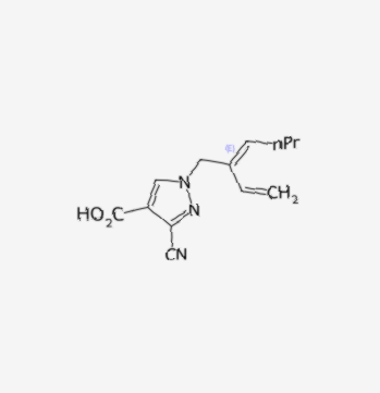 C=C/C(=C\CCC)Cn1cc(C(=O)O)c(C#N)n1